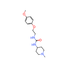 COc1ccc(OCCNC(=O)NC2CCN(C)CC2)cc1